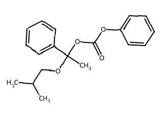 CC(C)COC(C)(OC(=O)Oc1ccccc1)c1ccccc1